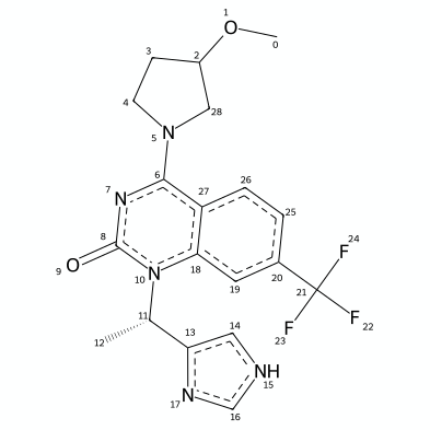 COC1CCN(c2nc(=O)n([C@@H](C)c3c[nH]cn3)c3cc(C(F)(F)F)ccc23)C1